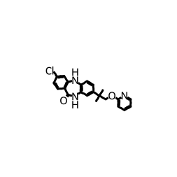 CC(C)(COc1ccccn1)c1ccc2c(c1)NC(=O)c1ccc(Cl)cc1N2